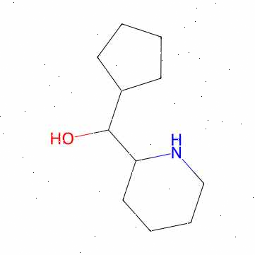 OC(C1CCCC1)C1CCCCN1